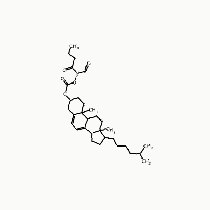 CCCC(=O)N(C=O)OC(=O)OC1CCC2(C)C(=CC=C3C2CCC2(C)C(C/C=C/CC(C)C)CCC32)C1